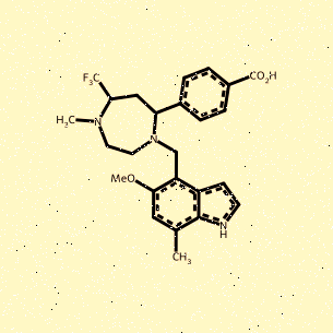 COc1cc(C)c2[nH]ccc2c1CN1CCN(C)C(C(F)(F)F)CC1c1ccc(C(=O)O)cc1